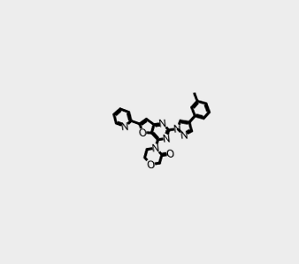 Cc1cccc(-c2cnn(-c3nc(N4CCOCC4=O)c4oc(-c5ccccn5)cc4n3)c2)c1